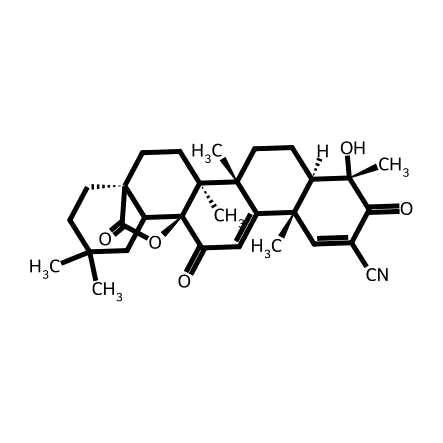 CC1(C)CC[C@@]23CC[C@@]4(C)[C@]5(C)CC[C@H]6[C@](C)(O)C(=O)C(C#N)=C[C@]6(C)C5=CC(=O)[C@]4(OC2=O)C3C1